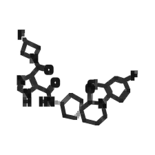 O=C(N[C@H]1CC[C@]2(CCCN(c3ccc(F)cc3Cl)C2=O)CC1)c1[nH]cnc1C(=O)N1CC(F)C1